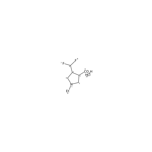 CCN1CC(C(=O)O)C(C(F)F)C1.Cl